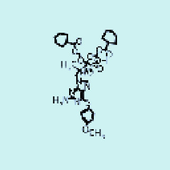 COc1ccc(Sc2nc(N)nc3c2ncn3CC(C)OC(OCOC(=O)C2CCCCC2)(OCOC(=O)C2CCCCC2)P(=O)(O)O)cc1